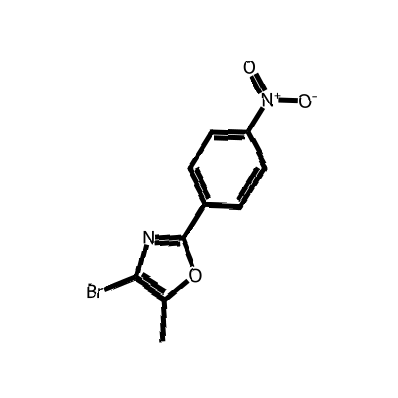 Cc1oc(-c2ccc([N+](=O)[O-])cc2)nc1Br